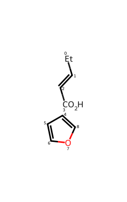 CCC=CC(=O)O.c1ccoc1